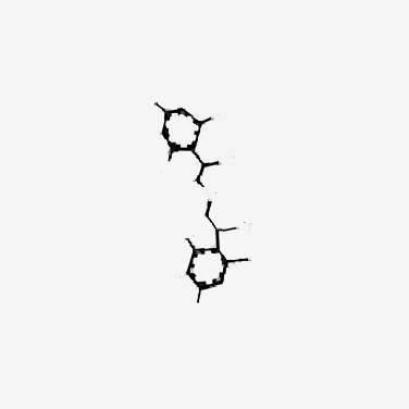 ClC(COCC(Cl)c1c(I)cc(I)cc1I)c1c(I)cc(I)cc1I